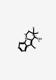 Cc1c2n(c3ccccc13)CCC(C)(C)C2O